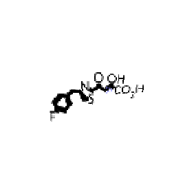 O=C(O)/C(O)=C/C(=O)c1nc(Cc2ccc(F)cc2)cs1